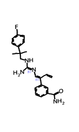 C=C/C(=C\N=C(/N)NCC(C)(C)c1ccc(F)cc1)c1cccc(C(N)=O)c1